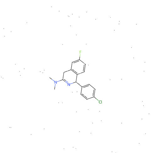 CN(C)C1=NC(c2ccc(Cl)cc2)c2ccc(F)cc2C1